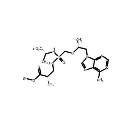 CC(C)OC(=O)[C@@H](C)CNP(=O)(CO[C@H](C)Cn1cnc2c(N)ncnc21)N[C@H](C)C(=O)O